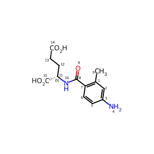 Cc1cc(N)ccc1C(=O)N[C@@H](CCC(=O)O)C(=O)O